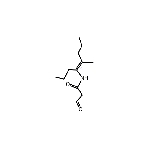 CCC/C(C)=C(\CCC)NC(=O)CC=O